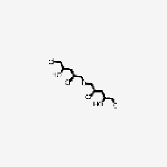 OC(CCl)CC(Cl)COCC(Cl)CC(O)CCl